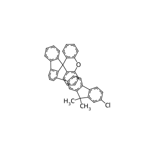 CC1(C)c2cc(Cl)ccc2-c2ccc(-c3cccc4c3C3(c5ccccc5Oc5ccccc53)c3ccccc3-4)cc21